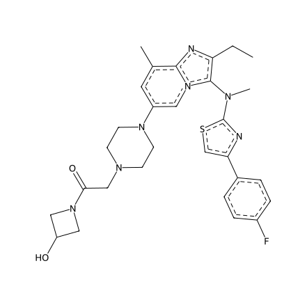 CCc1nc2c(C)cc(N3CCN(CC(=O)N4CC(O)C4)CC3)cn2c1N(C)c1nc(-c2ccc(F)cc2)cs1